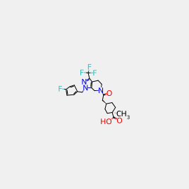 C[C@]1(C(=O)O)CC[C@@H](CC(=O)N2CCc3c(C(F)(F)F)nn(Cc4ccc(F)cc4)c3C2)CC1